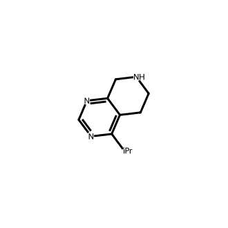 CC(C)c1ncnc2c1CCNC2